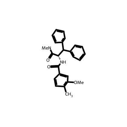 CNC(=O)[C@@H](NC(=O)c1ccc(C)c(OC)c1)C(c1ccccc1)c1ccccc1